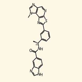 C[C@H](NC(=O)c1ccc2[nH]cnc2c1)c1cccc(-c2nc3c(ncc4ncn(C)c43)s2)c1